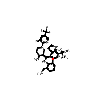 CCc1cccc(CC)c1N/C(=C1/CN(c2ncc(C(F)(F)F)cc2F)CCC1=N)c1ccc(C(C)(C)O)c2[nH]ccc12